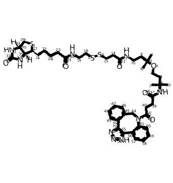 CC(C)(CCOC(C)(C)CCNC(=O)CCSSCCNC(=O)CCCC[C@@H]1SC[C@@H]2NC(=O)N[C@@H]21)NC(=O)CCC(=O)N1Cc2ccccc2-c2nn[nH]c2-c2ccccc21